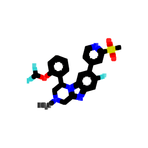 CS(=O)(=O)c1cc(-c2cc3c(cc2F)nc2n3C(c3ccccc3OC(F)F)CN(C(=O)O)C2)ccn1